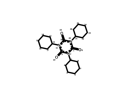 O=c1n(C2CCCCC2)c(=O)n(C2CCCCC2)c(=O)n1C1CCCCC1